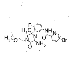 COCCN1CC(C)(c2cc(NC(=O)c3ccc(Br)cn3)ccc2F)N=C(N)C1=O